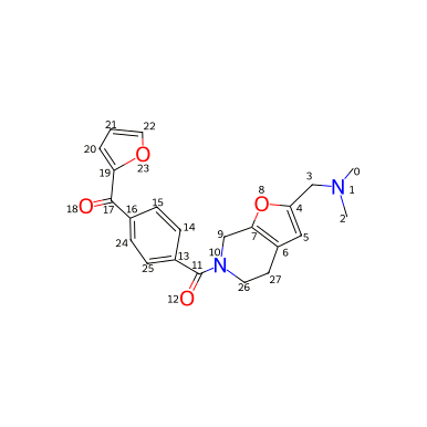 CN(C)Cc1cc2c(o1)CN(C(=O)c1ccc(C(=O)c3ccco3)cc1)CC2